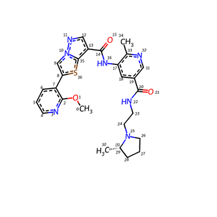 COc1ncccc1-c1cn2ncc(C(=O)Nc3cc(C(=O)NCCN4CCC[C@@H]4C)cnc3C)c2s1